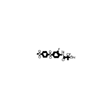 CC(O)(C(=O)Nc1ccc(S(=O)(=O)c2ccc(S(C)(=O)=O)cc2)cc1F)C(F)(F)F